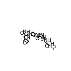 CC(C)CNc1nnc(C(=O)N[C@H]2CC[C@H](Oc3nc4c(cc3C(N)=O)COCC4)CC2)s1